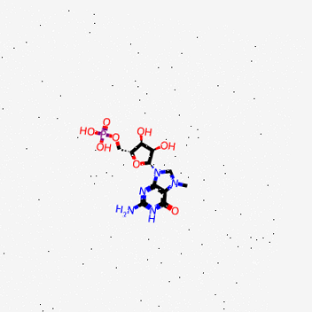 CN1CN([C@@H]2O[C@H](COP(=O)(O)O)[C@@H](O)[C@H]2O)c2nc(N)[nH]c(=O)c21